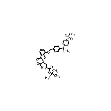 CC(c1ccc(COc2cccc3c2CN(C(CCC(=O)OC(C)(C)C)C(N)=O)C3=O)cc1)N1CCN(S(C)(=O)=O)CC1